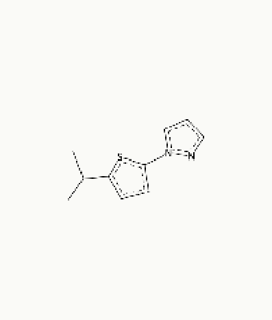 CC(C)c1ccc(-n2cccn2)s1